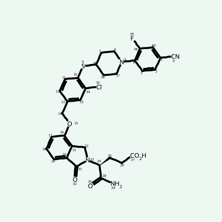 N#Cc1ccc(N2CCC(Sc3ccc(COc4cccc5c4CN([C@@H](CCC(=O)O)C(N)=O)C5=O)cc3Cl)CC2)c(F)c1